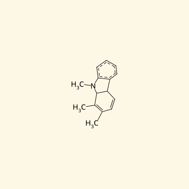 CC1=C(C)C2C(C=C1)c1ccccc1N2C